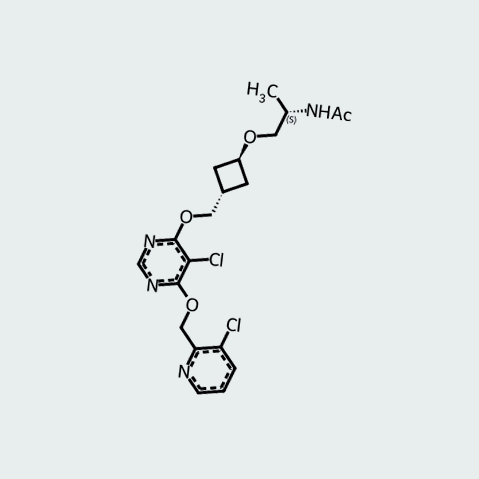 CC(=O)N[C@@H](C)CO[C@H]1C[C@H](COc2ncnc(OCc3ncccc3Cl)c2Cl)C1